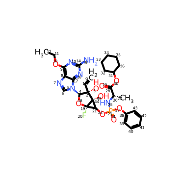 C=C[C@]1(O)[C@H](n2cnc3c(OCC)nc(N)nc32)O[C@]2(F)C(O[P@@](=O)(N[C@@H](C)C(=O)OC3CCCCC3)Oc3ccccc3)[C@@]21O